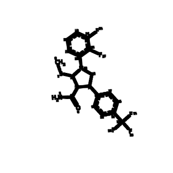 CSC1C(C(N)=O)C(c2ccc(C(F)(F)F)cc2)CN1c1cccc(F)c1F